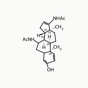 CC(=O)NC1=CC[C@H]2[C@@H]3C(NC(C)=O)CC4C=C(O)C=C[C@]4(C)[C@@H]3CC[C@]12C